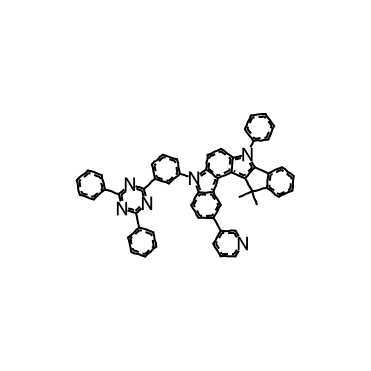 CC1(C)c2ccccc2-c2c1c1c3c4cc(-c5cccnc5)ccc4n(-c4cccc(-c5nc(-c6ccccc6)nc(-c6ccccc6)n5)c4)c3ccc1n2-c1ccccc1